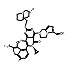 C=Cc1ncc2n1CCN(c1nc(OC[C@@]34CCCN3C[C@H](F)C4)nc3c(F)c(-c4ccc(F)c5sc(N)c(C#N)c45)n(C4CC4)c(=O)c13)C2